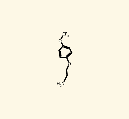 NCCOc1ccc(OC(F)(F)F)cc1